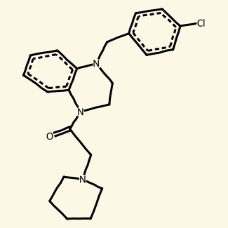 O=C(CN1CCCCC1)N1CCN(Cc2ccc(Cl)cc2)c2ccccc21